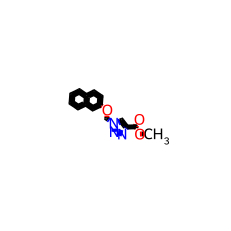 COC(=O)c1cn(COc2ccc3ccccc3c2)nn1